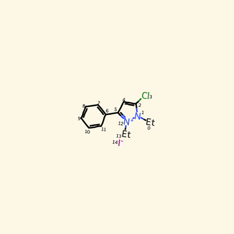 CCn1c(Cl)cc(-c2ccccc2)[n+]1CC.[I-]